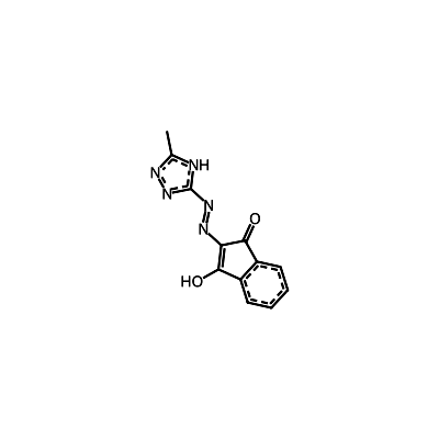 Cc1nnc(/N=N/C2=C(O)c3ccccc3C2=O)[nH]1